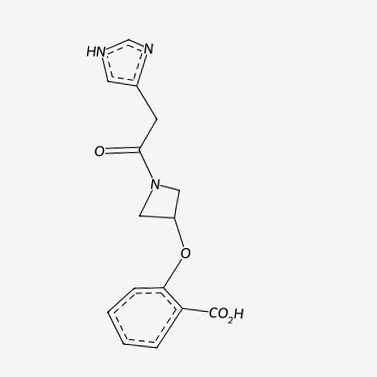 O=C(O)c1ccccc1OC1CN(C(=O)Cc2c[nH]cn2)C1